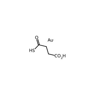 O=C(O)CCC(=O)S.[Au]